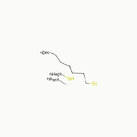 CCCCCCCCCCCCCCCCS.CCCCCCCS.[CH2]CCCCC